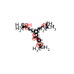 C=C(C)C(=C)OCCCCc1cc2c(c(CCCCOC(O)C(=C)C)c1)OC(O)C(c1ccc(OC(=O)C(=C)C)cc1)=C2